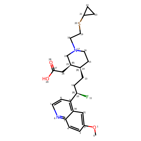 COc1ccc2nccc([C@H](F)CC[C@@H]3CCN(CCSC4CC4)C[C@@H]3CC(=O)O)c2c1